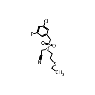 CCSCCN(CC#N)S(=O)(=O)Cc1cc(F)cc(Cl)c1